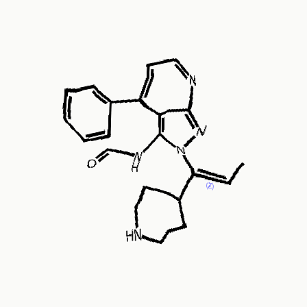 C/C=C(/C1CCNCC1)n1nc2nccc(-c3ccccc3)c2c1NC=O